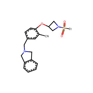 CCS(=O)(=O)N1CC(Oc2ccc(CN3Cc4ccccc4C3)cc2C#N)C1